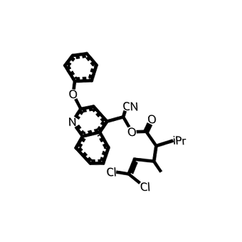 CC(C)C(C(=O)OC(C#N)c1cc(Oc2ccccc2)nc2ccccc12)C(C)C=C(Cl)Cl